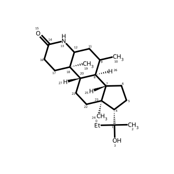 CCC(C)(O)[C@H]1CC[C@H]2[C@@H]3C(C)CC4NC(=O)CC[C@]4(C)[C@H]3CC[C@]12C